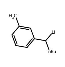 [Li][CH](CCCC)c1cccc(C)c1